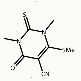 CSc1c(C#N)c(=O)n(C)c(=S)n1C